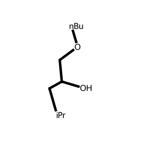 CCCCOCC(O)CC(C)C